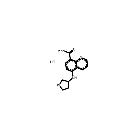 CNC(=O)c1ccc(NC2CCNC2)c2cccnc12.Cl